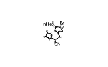 CCCCCCc1cc(C[C@@H](C#N)c2cccs2)sc1Br